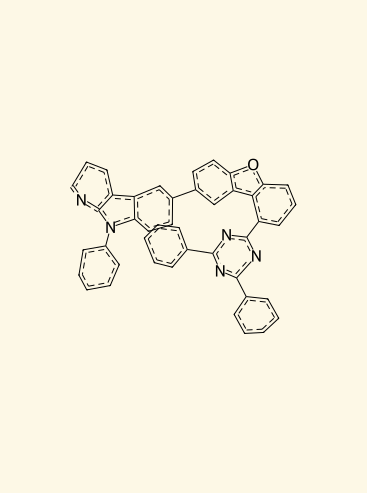 c1ccc(-c2nc(-c3ccccc3)nc(-c3cccc4oc5ccc(-c6ccc7c(c6)c6cccnc6n7-c6ccccc6)cc5c34)n2)cc1